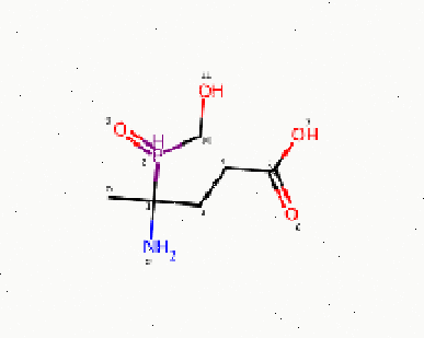 CC(N)(CCC(=O)O)[PH](=O)CO